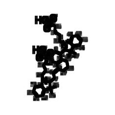 C=C(C1=C(Cl)C(=CCC2N(CCCCS(=O)(=O)O)c3ccccc3C2(C)C)CCC1)C1=[N+](CCCCS(=O)(=O)O)c2ccccc2C1(C)C